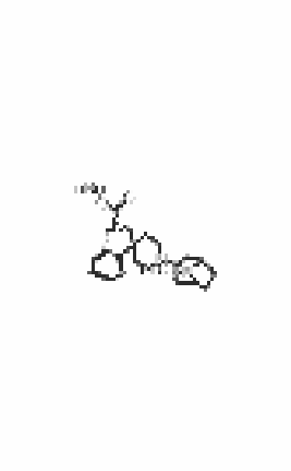 CCCCOC(=O)N1Cc2ccccc2C2(CCN(C3CC4CCC(C3)N4C(=O)OCC)CC2)C1